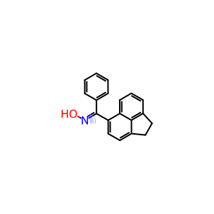 O/N=C(\c1ccccc1)c1ccc2c3c(cccc13)CC2